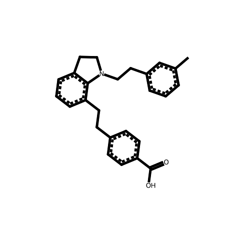 Cc1cccc(CCN2CCc3cccc(CCc4ccc(C(=O)O)cc4)c32)c1